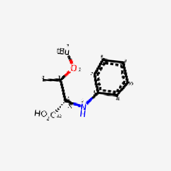 CC(OC(C)(C)C)[C@H](Nc1ccccc1)C(=O)O